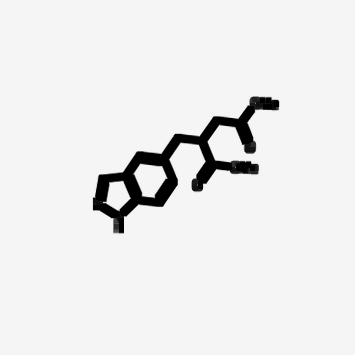 COC(=O)CC(Cc1ccc2[nH]ncc2c1)C(=O)OC